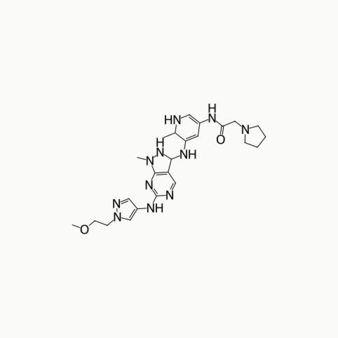 COCCn1cc(Nc2ncc3c(n2)N(C)NC3NC2=CC(NC(=O)CN3CCCC3)=CNC2C)cn1